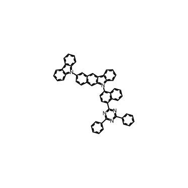 c1ccc(-c2nc(-c3ccccc3)nc(-c3ccc(-n4c5ccccc5c5cc6cc(-n7c8ccccc8c8ccccc87)ccc6cc54)c4ccccc34)n2)cc1